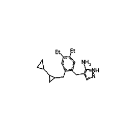 CCc1cc(Cc2cn[nH]c2N)c(CC2CC2C2CC2)cc1CC